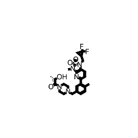 Cc1ccc(CN2CCN(C(=O)[C@H](C)O)CC2)cc1-c1ccc2c(n1)N(C)S(=O)(=O)N2CC1CC1(F)F